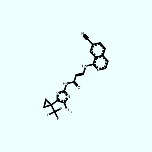 Cc1nc(NC(=O)C=CNc2nccc3ccc(C#N)cc23)sc1C1(C(F)(F)F)CC1